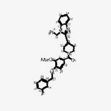 COc1cc(C(=O)N2CCC(c3nc4ccccc4n3CC(C)C)CC2)ccc1OCc1cccc(F)c1